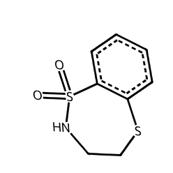 O=S1(=O)NCCSc2ccccc21